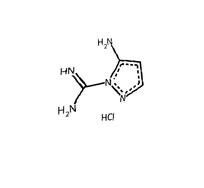 Cl.N=C(N)n1nccc1N